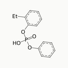 CCc1ccccc1OP(=O)(O)Oc1ccccc1